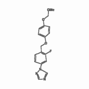 COCOc1ccc(OCc2ccc(-n3cncn3)cc2F)cc1